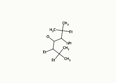 CCCC(C([O])C(CC)C(C)(C)CC)C(C)(C)CC